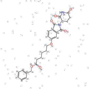 O=C1CCC(N2C(=O)c3ccc(OCCCCCC(=O)OCc4ccccc4)cc3C2=O)C(=O)N1